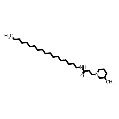 CCCCCCCCCCCCCCCCCCNC(=O)CCN1CCCC(C)C1